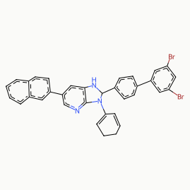 Brc1cc(Br)cc(-c2ccc(C3Nc4cc(-c5ccc6ccccc6c5)cnc4N3C3=CCCC=C3)cc2)c1